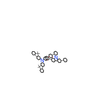 CC1(C)c2ccccc2-c2ccc(N(c3ccc(-c4ccc(-c5ccccc5-n5c6cc(-c7ccccc7)ccc6c6ccc(-c7ccccc7)cc65)cc4)cc3)c3ccc4c(c3)C(C)(C)c3ccccc3-4)cc21